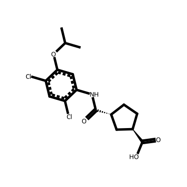 CC(C)Oc1cc(NC(=O)[C@@H]2CC[C@@H](C(=O)O)C2)c(Cl)cc1Cl